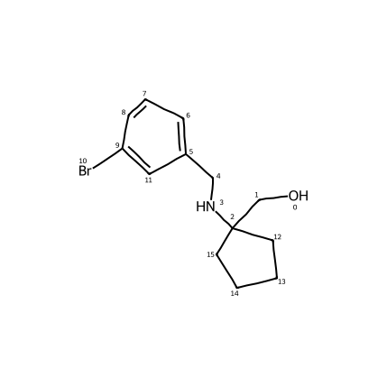 OCC1(NCc2cccc(Br)c2)CCCC1